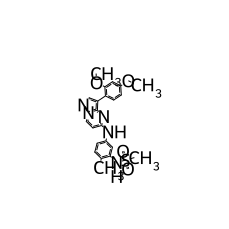 COc1ccc(-c2cnn3ccc(Nc4ccc(C)c(NS(C)(=O)=O)c4)nc23)c(OC)c1